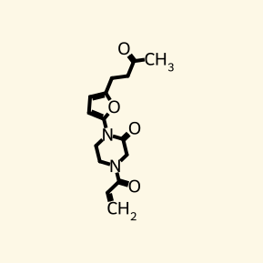 C=CC(=O)N1CCN(c2ccc(CCC(C)=O)o2)C(=O)C1